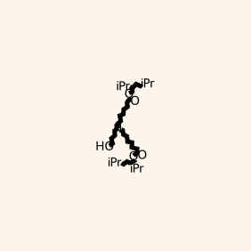 CC(C)CCC(COC(=O)CCCCCCCN(CCCCO)CCCCCCCC(=O)OCC(CCC(C)C)C(C)C)C(C)C